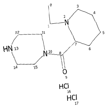 CCN1CCCCC1C(=O)N1CCNCC1.Cl.Cl